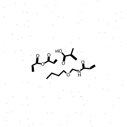 C=C(C)C(=O)O.C=CC(=O)NCOCCCC.C=CC(=O)OC(=O)C=C